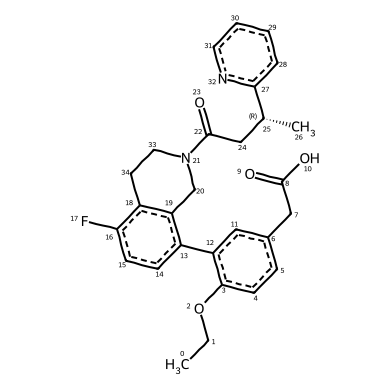 CCOc1ccc(CC(=O)O)cc1-c1ccc(F)c2c1CN(C(=O)C[C@@H](C)c1ccccn1)CC2